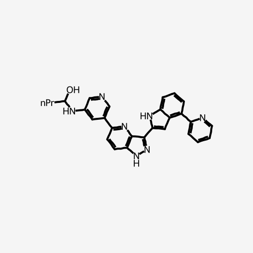 CCCC(O)Nc1cncc(-c2ccc3[nH]nc(-c4cc5c(-c6ccccn6)cccc5[nH]4)c3n2)c1